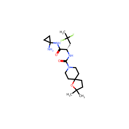 CC(F)(F)C[C@H](NC(=O)N1CCC2(CC1)CCC(C)(C)O2)C(=O)NC1(N)CC1